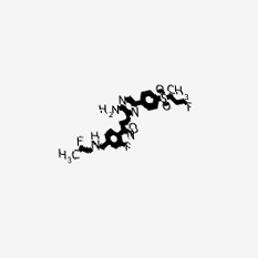 CC(F)CNCc1ccc(-c2cc(-c3nc(-c4ccc(S(=O)(=O)C(C)CCF)cc4)cnc3N)on2)c(F)c1